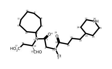 CCN(CC(=O)N(C1[CH]CCCCCC1)[C@H](C=O)CC(=O)O)C(=O)CCCC1CCNCC1